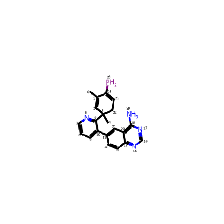 CC1=CC(C)(c2ncccc2-c2ccc3ncnc(N)c3c2)CC=C1P